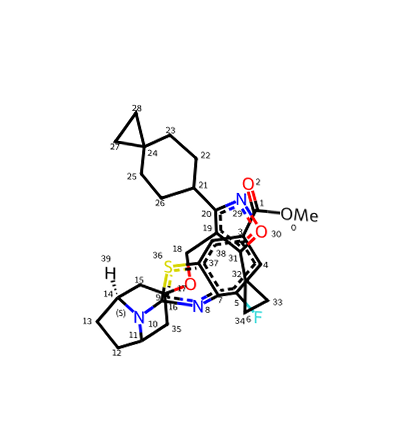 COC(=O)c1cc(F)c2nc(N3C4CC[C@H]3CC(OCc3c(C5CCC6(CC5)CC6)noc3C3CC3)C4)sc2c1